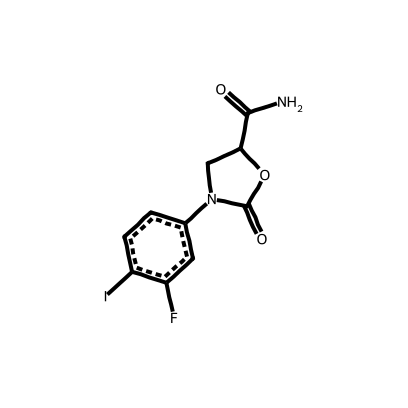 NC(=O)C1CN(c2ccc(I)c(F)c2)C(=O)O1